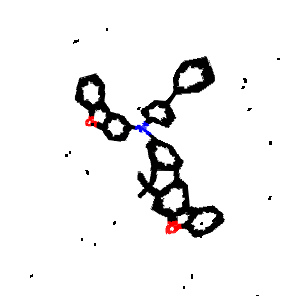 CC1(C)c2cc(N(c3ccc(-c4ccccc4)cc3)c3ccc4oc5ccccc5c4c3)ccc2-c2cc3c(cc21)oc1ccccc13